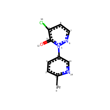 CC(C)c1ccc(-n2nccc(Cl)c2=O)cn1